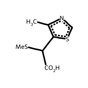 CSC(C(=O)O)c1scnc1C